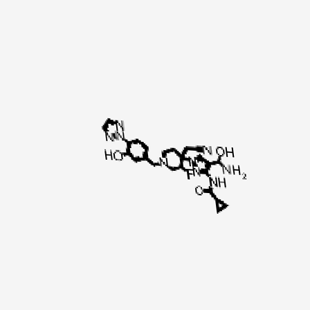 N#CCC1(n2cc(C(N)O)c(NC(=O)C3CC3)n2)CCN(Cc2ccc(-n3nccn3)c(O)c2)CC1F